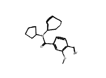 COc1cc(C(=O)N(C2CCCC2)C2CCCC2)ccc1CBr